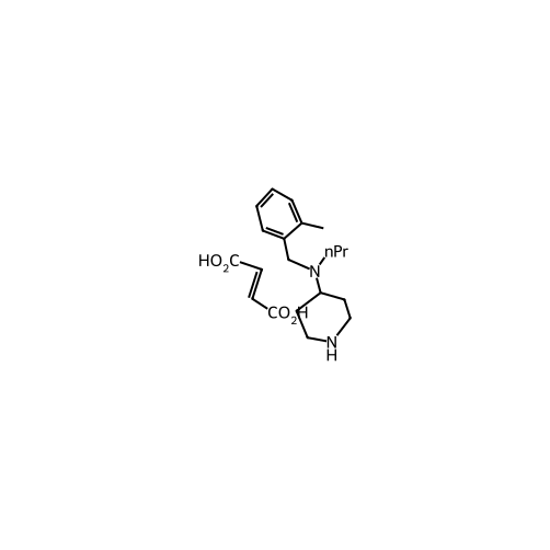 CCCN(Cc1ccccc1C)C1CCNCC1.O=C(O)C=CC(=O)O